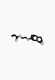 C=CC(=O)OCCSC1CC2CC1C1C2CC2OC21